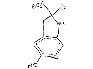 CCOC(=O)C1(CC)Cc2cc(O)ccc2N1